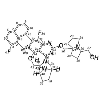 C#Cc1c(F)ccc2cccc(-c3nc4c5c(nc(OCC67CCCN6C(CO)CC7)nc5c3F)N3C[C@@H]5CC[C@@H](N5)[C@H]3CO4)c12